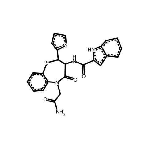 NC(=O)CN1C(=O)C(NC(=O)c2cc3ccccc3[nH]2)C(c2cccs2)Sc2ccccc21